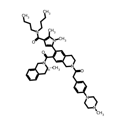 CCCCN(CCCC)C(=O)c1cc(-c2cc3c(cc2C(=O)N2Cc4ccccc4C[C@H]2C)CN(C(=O)Cc2ccc(N4CCN(C)CC4)cc2)CC3)n(C)c1C